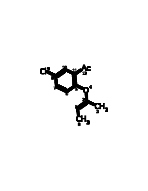 CC=C(C)Oc1ccc(Cl)cc1C(C)=O